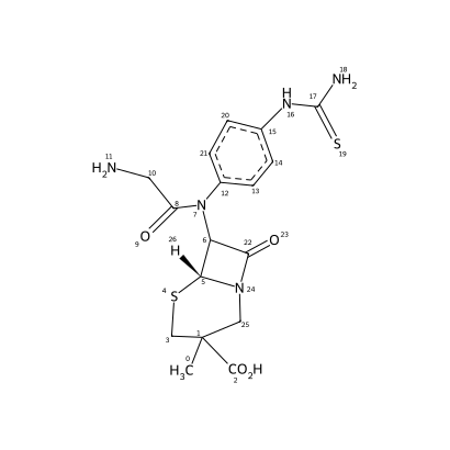 CC1(C(=O)O)CS[C@@H]2C(N(C(=O)CN)c3ccc(NC(N)=S)cc3)C(=O)N2C1